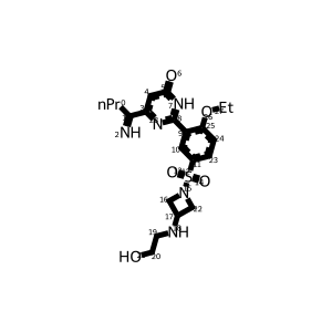 CCCC(=N)c1cc(=O)[nH]c(-c2cc(S(=O)(=O)N3CC(NCCO)C3)ccc2OCC)n1